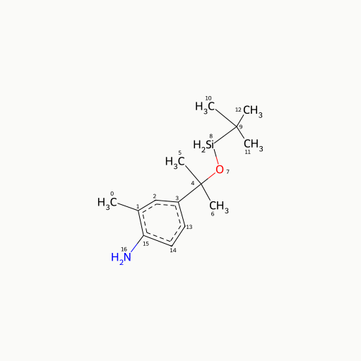 Cc1cc(C(C)(C)O[SiH2]C(C)(C)C)ccc1N